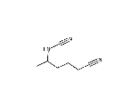 CC(CCCC#N)NC#N